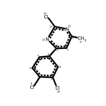 Cc1cc(-c2ccc(Cl)c(Cl)c2)nc(Cl)n1